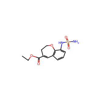 CCOC(=O)C1=Cc2cccc(NS(N)(=O)=O)c2OCC1